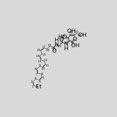 CC/C=C\C/C=C\C/C=C\C/C=C\C/C=C\C/C=C\CCC(=O)NCC(=O)N[C@H]1C(O)[C@H](O)C(CO)O[C@H]1O